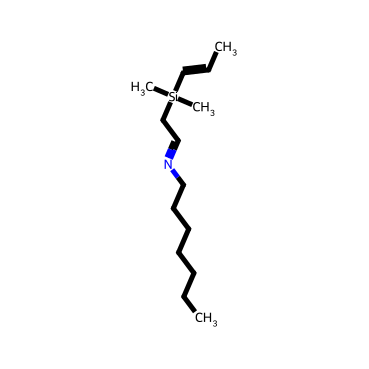 CC=C[Si](C)(C)CC=NCCCCCCC